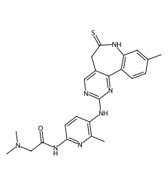 Cc1ccc2c(c1)NC(=S)Cc1cnc(Nc3ccc(NC(=O)CN(C)C)nc3C)nc1-2